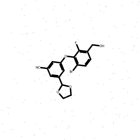 N#Cc1cc(Oc2c(Br)ccc(CO)c2F)cc(C2OCCO2)c1